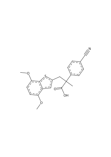 COc1ccc(OC)c2sc(CC(C)(C(=O)O)c3ccc(C#N)cc3)cc12